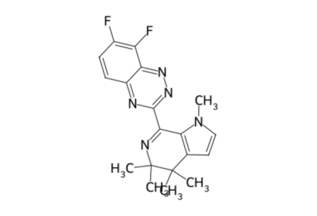 Cn1ccc2c1C(c1nnc3c(F)c(F)ccc3n1)=NC(C)(C)C2(C)C